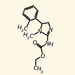 CCOC(=O)NC1=NCC(c2ccccc2C)N1C